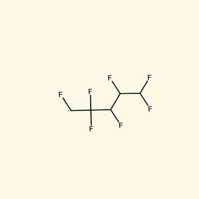 F[CH]C(F)(F)C(F)C(F)C(F)F